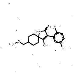 COCC1CCC2(CC1)NC(=O)C(c1cc(Br)ccc1C)=C2O